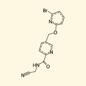 N#CCNC(=O)c1ccc(COc2cccc(Br)n2)cn1